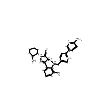 Cc1ccc(-c2ccc(Cn3nc4c(=O)n([C@H]5CCCCC5O)nc-4c4cccc(Cl)c43)cn2)cn1